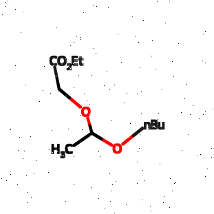 CCCCOC(C)OCC(=O)OCC